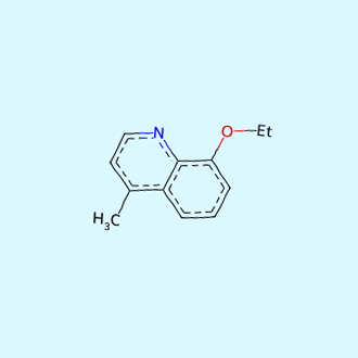 CCOc1cccc2c(C)ccnc12